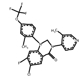 Cc1cnccc1N1CN(c2ccc(OC(F)(F)F)cc2C)c2cc(F)c(Cl)cc2C1=O